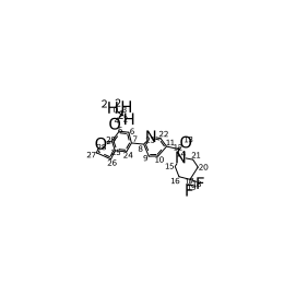 [2H]C([2H])([2H])Oc1cc(-c2ccc(C(=O)N3CCC(F)(F)CC3)cn2)cc2ccoc12